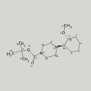 CO[C@@H]1CCCC[C@H]1N1CCN(C(=O)OC(C)(C)C)CC1